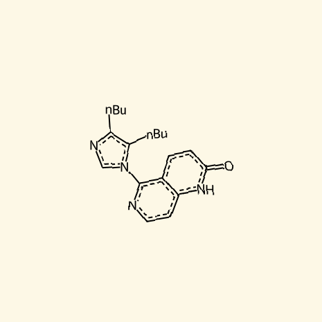 CCCCc1ncn(-c2nccc3[nH]c(=O)ccc23)c1CCCC